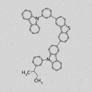 CCC(C)c1cccc(-n2c3ccccc3c3cc(-c4ccc5sc6ccc(-c7cccc(-n8c9ccccc9c9ccccc98)c7)cc6c5c4)ccc32)c1